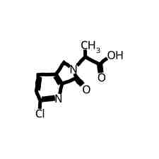 CC(C(=O)O)N1Cc2ccc(Cl)nc2C1=O